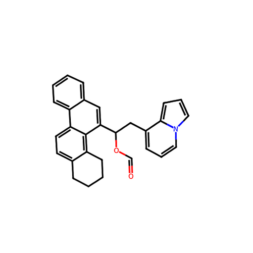 O=COC(Cc1cccn2cccc12)c1cc2ccccc2c2ccc3c(c12)CCCC3